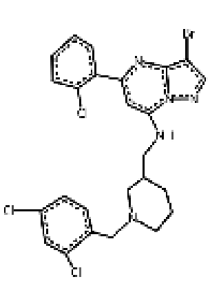 Clc1ccc(CN2CCCC(CNc3cc(-c4ccccc4Cl)nc4c(Br)cnn34)C2)c(Cl)c1